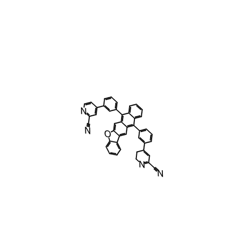 N#CC1=NCCC(c2cccc(-c3c4ccccc4c(-c4cccc(-c5ccnc(C#N)c5)c4)c4cc5oc6ccccc6c5cc34)c2)=C1